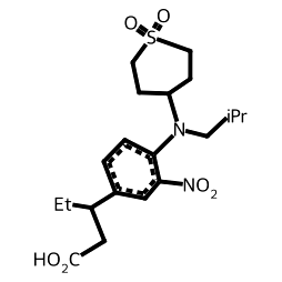 CCC(CC(=O)O)c1ccc(N(CC(C)C)C2CCS(=O)(=O)CC2)c([N+](=O)[O-])c1